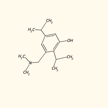 CC(C)c1cc(O)c(C(C)C)c(CN(C)C)c1